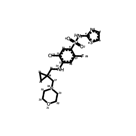 O=S(=O)(Nc1nccs1)c1cc(Cl)c(NCC2(CN3CCOCC3)CC2)cc1F